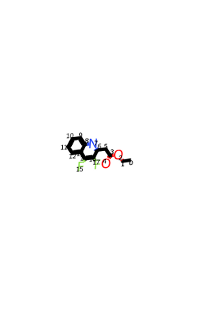 CCOC(=O)Cc1nc2ccccc2c(F)c1F